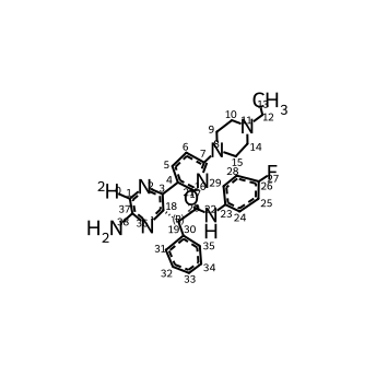 [2H]c1nc(-c2ccc(N3CCN(CC)CC3)nc2)c([C@H](C(=O)Nc2ccc(F)cc2)c2ccccc2)nc1N